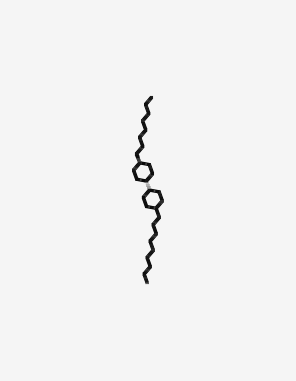 CCCCCCCCCC1CCC([C@H]2CC[C@H](CCCCCCCC)CC2)CC1